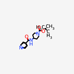 CC(C)(C)OC(=O)N1CCC(NC(=O)c2ccncc2)CC1